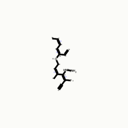 C#C/C(F)=C(NN)\C(C)=C/CO/C(C=C)=C/C=C\C